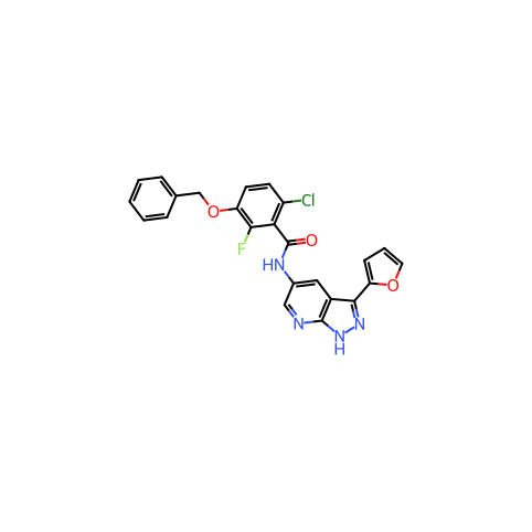 O=C(Nc1cnc2[nH]nc(-c3ccco3)c2c1)c1c(Cl)ccc(OCc2ccccc2)c1F